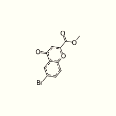 COC(=O)c1cc(=O)c2cc(Br)ccc2o1